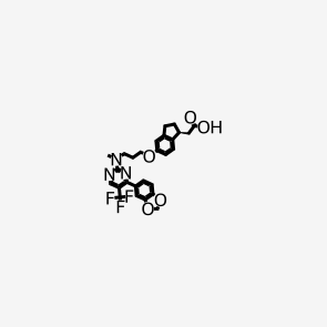 CN(CCCOc1ccc2c(c1)CC[C@H]2CC(=O)O)c1ncc(C(F)(F)F)c(-c2ccc3c(c2)OCO3)n1